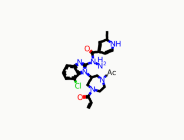 C=CC(=O)N1CCN(C(C)=O)CC(n2c(N(N)C(=O)C3=CC(C)NC=C3)nc3cccc(Cl)c32)C1